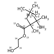 BC(C)(C)C(C)(CC(C)(C)C)C(=O)OCCO